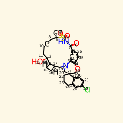 O=C1NS(=O)(=O)[C@H](C(F)(F)F)CCCC[C@H](O)[C@@H]2CC[C@H]2CN2C[C@@]3(CCCc4cc(Cl)ccc43)COc3ccc1cc32